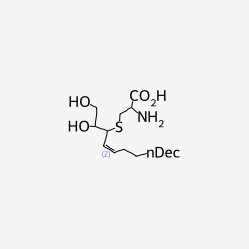 CCCCCCCCCCCC/C=C\C(SCC(N)C(=O)O)C(O)CO